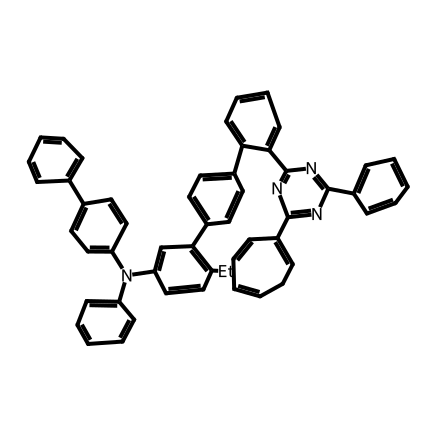 CCc1ccc(N(c2ccccc2)c2ccc(-c3ccccc3)cc2)cc1-c1ccc(-c2ccccc2-c2nc(C3=CCC=CC=C3)nc(-c3ccccc3)n2)cc1